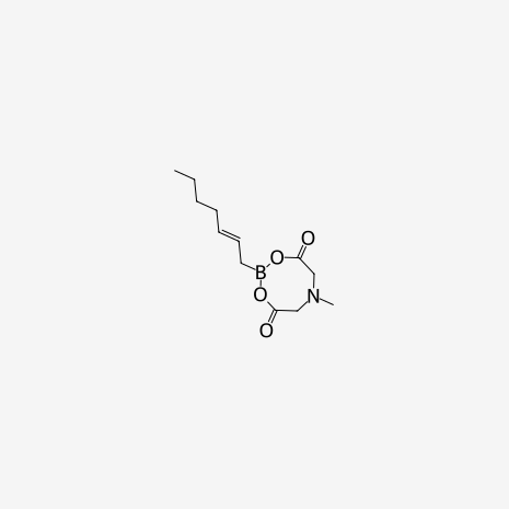 CCCC/C=C/CB1OC(=O)CN(C)CC(=O)O1